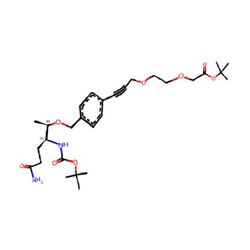 C[C@@H](OCc1ccc(C#CCOCCOCC(=O)OC(C)(C)C)cc1)[C@H](CCC(N)=O)NC(=O)OC(C)(C)C